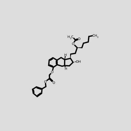 CCCCC[C@@H](CC[C@@H]1[C@H]2Cc3cccc(OCC(=O)OCc4ccccc4)c3C[C@H]2C[C@H]1O)OC(C)=O